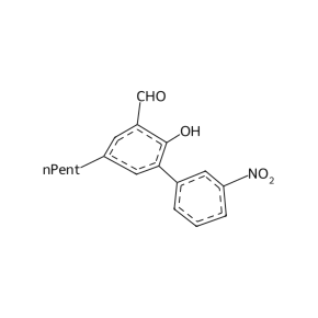 CCCCCc1cc(C=O)c(O)c(-c2cccc([N+](=O)[O-])c2)c1